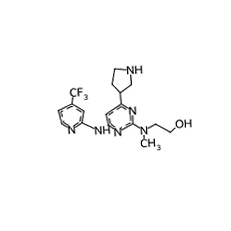 CN(CCO)c1nc(Nc2cc(C(F)(F)F)ccn2)cc(C2CCNC2)n1